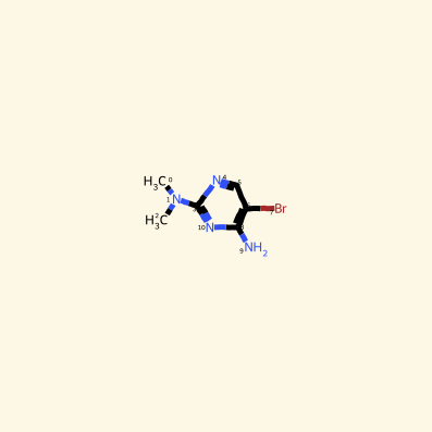 CN(C)c1ncc(Br)c(N)n1